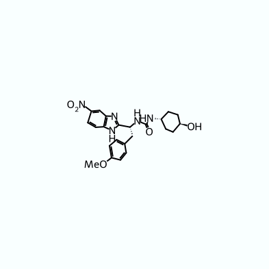 COc1ccc(C[C@@H](NC(=O)N[C@H]2CC[C@H](O)CC2)c2nc3cc([N+](=O)[O-])ccc3[nH]2)cc1